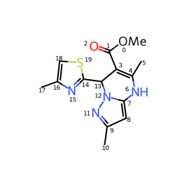 COC(=O)C1=C(C)Nc2cc(C)nn2C1c1nc(C)cs1